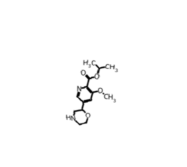 COc1cc(C2CNCCO2)cnc1C(=O)OC(C)C